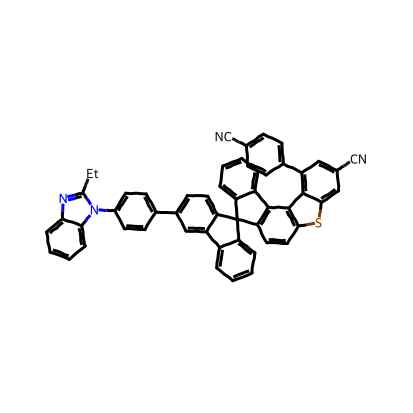 CCc1nc2ccccc2n1-c1ccc(-c2ccc3c(c2)-c2ccccc2C32c3ccccc3-c3c2ccc2sc4cc(C#N)cc(-c5ccc(C#N)cc5)c4c32)cc1